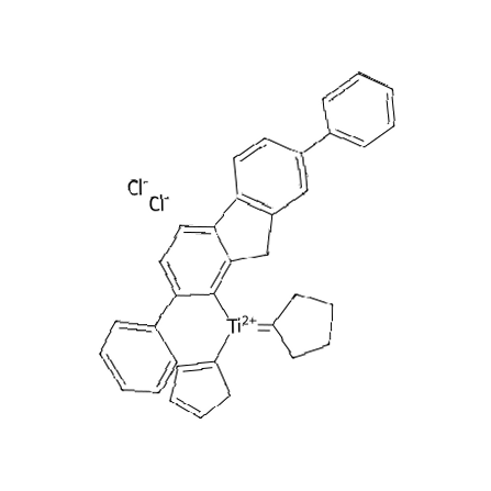 C1=CC[C]([Ti+2](=[C]2CCCC2)[c]2c(-c3ccccc3)ccc3c2Cc2cc(-c4ccccc4)ccc2-3)=C1.[Cl-].[Cl-]